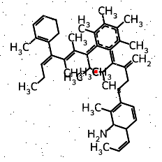 C=C(CCC1=C(C)C(N)C(/C=C\C)C=C1)\C(=c1/c(C)c(C)c(C)c(C)/c1=C(\C(C)=C(C)\C(=C/CC)C1=C(C)C=CCC1)C(C)C)C(C)C